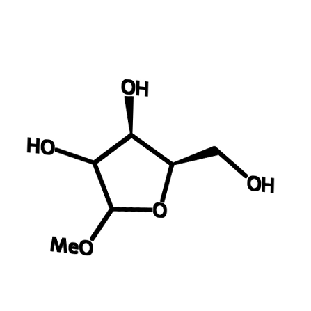 COC1O[C@H](CO)[C@H](O)C1O